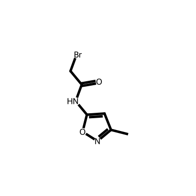 Cc1cc(NC(=O)CBr)on1